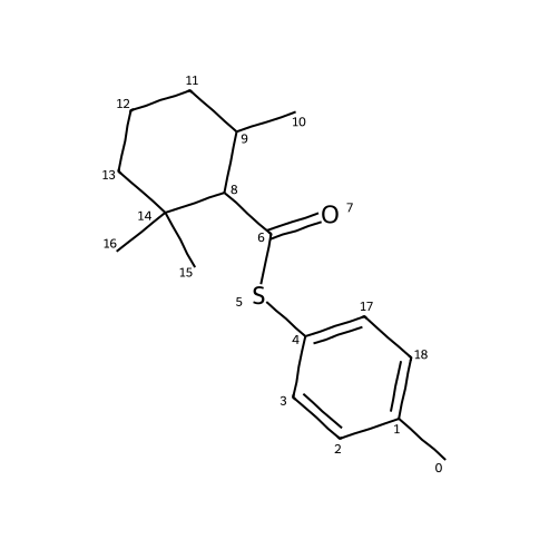 Cc1ccc(SC(=O)C2C(C)CCCC2(C)C)cc1